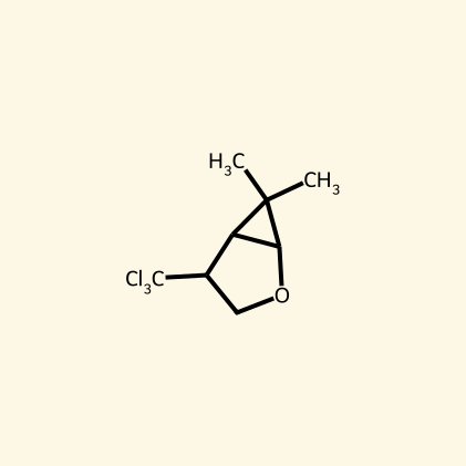 CC1(C)C2OCC(C(Cl)(Cl)Cl)C21